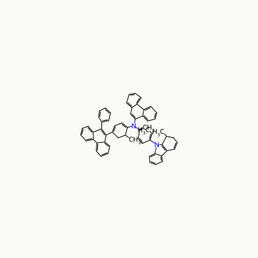 C=C(/C=C\C(=C/C)n1c2c(c3ccccc31)C=CCC2C)N(C1=CC=C(c2c(-c3ccccc3)c3ccccc3c3ccccc23)CC1C)c1cc2ccccc2c2ccccc12